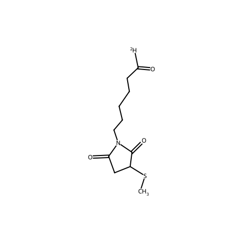 [2H]C(=O)CCCCCN1C(=O)CC(SC)C1=O